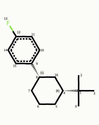 CC(C)(C)[C@@H]1CCC[C@H](c2ccc(F)cc2)C1